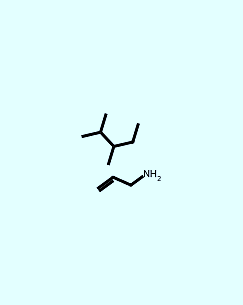 C=CCN.CCC(C)C(C)C